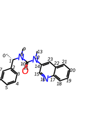 C[C@@H](c1ccccc1)N(C)C(=O)N(C)c1cnc2ccccc2c1